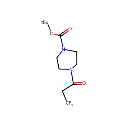 CC(C)(C)OC(=O)N1CCN(C(=O)CC(F)(F)F)CC1